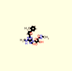 CCNC(=O)[C@H]1O[C@@H](n2cnc3c(NC)nc(-c4ccc(-c5ccccc5C)o4)nc32)[C@H](O)[C@@H]1O